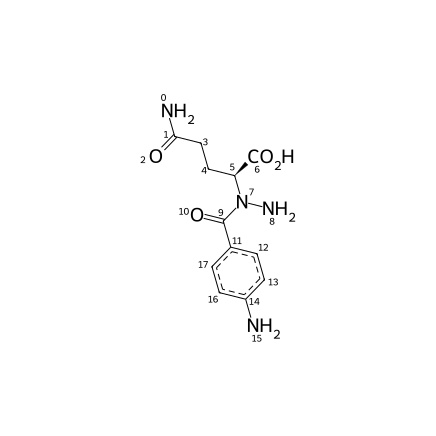 NC(=O)CC[C@@H](C(=O)O)N(N)C(=O)c1ccc(N)cc1